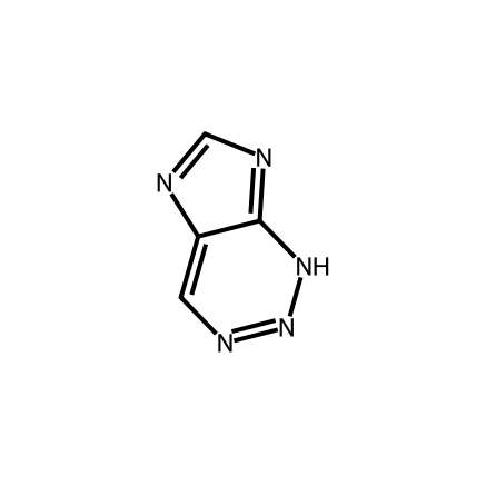 c1nc2cnn[nH]c-2n1